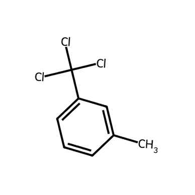 Cc1cccc(C(Cl)(Cl)Cl)c1